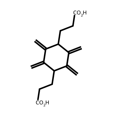 C=C1C(=C)C(CCC(=O)O)C(=C)C(=C)C1CCC(=O)O